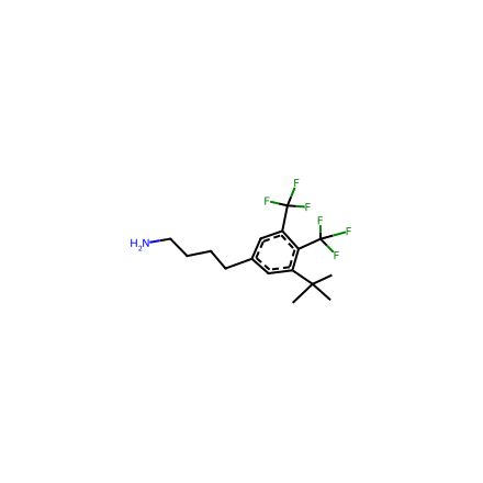 CC(C)(C)c1cc(CCCCN)cc(C(F)(F)F)c1C(F)(F)F